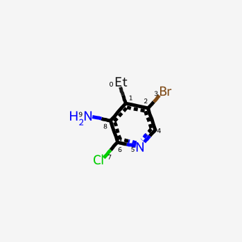 CCc1c(Br)cnc(Cl)c1N